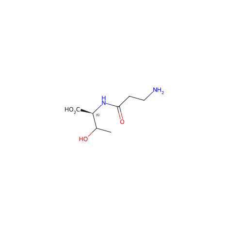 CC(O)[C@H](NC(=O)CCN)C(=O)O